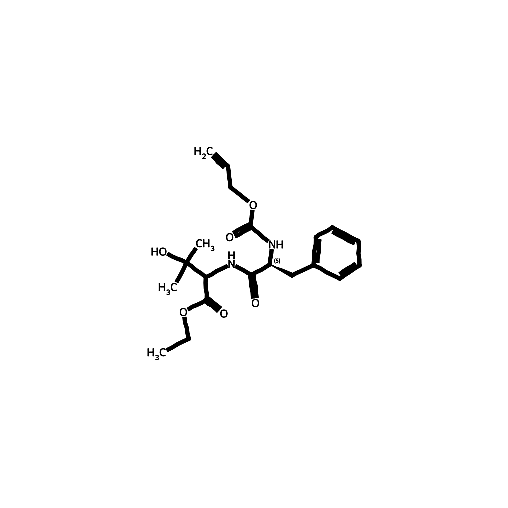 C=CCOC(=O)N[C@@H](Cc1ccccc1)C(=O)NC(C(=O)OCC)C(C)(C)O